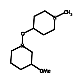 COC1CCCN(OC2CCN(C)CC2)C1